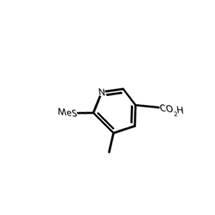 CSc1ncc(C(=O)O)cc1C